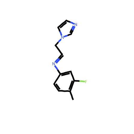 Cc1ccc(N=CCn2ccnc2)cc1F